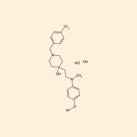 CC(C)Oc1ccc(N(C)CCC2(O)CCN(Cc3ccc(C(F)(F)F)cc3)CC2)cc1.Cl.Cl